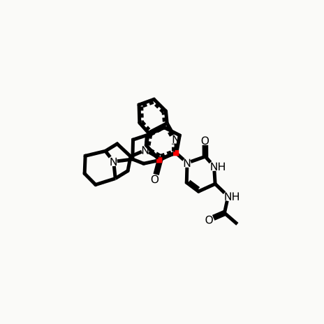 CC(=O)NC1C=CN(c2nc3ccccc3n(C3CC4CCCC(C3)N4C3CC4CCCC(C4)C3)c2=O)C(=O)N1